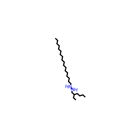 CCCCCCCCCCCCCCCCCCNNCC(CC)CCCC